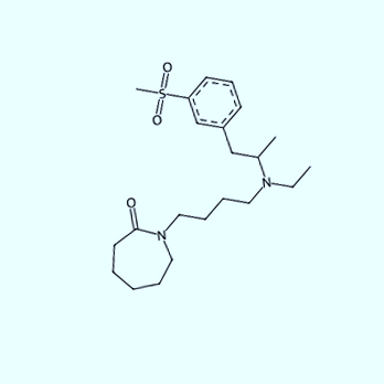 CCN(CCCCN1CCCCCC1=O)C(C)Cc1cccc(S(C)(=O)=O)c1